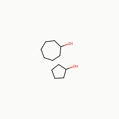 OC1CCCC1.OC1CCCCCC1